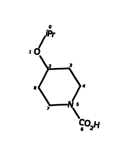 CC(C)OC1CCN(C(=O)O)CC1